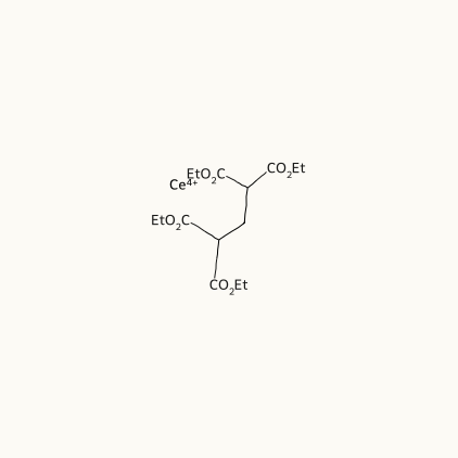 CCOC(=O)C(CC(C(=O)OCC)C(=O)OCC)C(=O)OCC.[Ce+4]